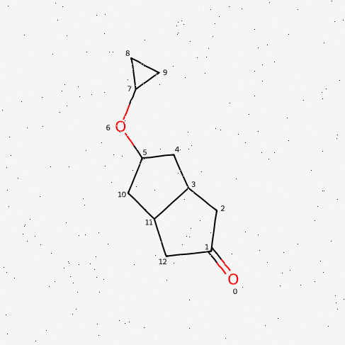 O=C1CC2CC(OC3CC3)CC2C1